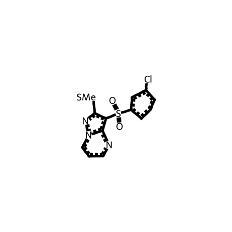 CSc1nn2cccnc2c1S(=O)(=O)c1cccc(Cl)c1